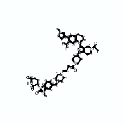 CC(=O)N1CCc2c(c(N3CCCc4cc(-c5cnn(C)c5)c(C(F)F)cc43)nn2C2CCN(C(=O)CCCN3CCN(Cc4ccc5c(c4)n(C)c(=O)n5C4CCC(=O)NC4=O)CC3)CC2)C1